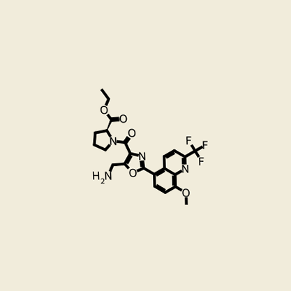 CCOC(=O)[C@@H]1CCCN1C(=O)c1nc(-c2ccc(OC)c3nc(C(F)(F)F)ccc23)oc1CN